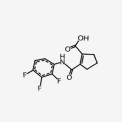 O=C(O)C1=C(C(=O)Nc2ccc(F)c(F)c2F)CCC1